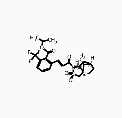 CC(C)OC(=O)c1c(C=CC(=O)N2[C@H]3C[C@H]4CC[C@@]3(CS2(=O)=O)C4(C)C)cccc1C(F)(F)F